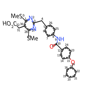 CSc1nc(Cc2ccc(NC(=O)c3ccc(Oc4ccccc4)cc3)cc2)nc(SC)c1CC(=O)O